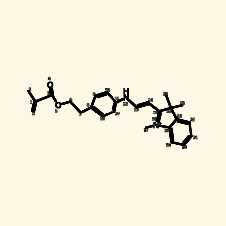 C=C(C)C(=O)OCCc1ccc(N/C=C/C2=[N+](C)c3ccccc3C2(C)C)cc1